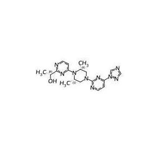 C[C@@H]1CN(c2nccc(-n3cncn3)n2)C[C@H](C)N1c1ccnc([C@@H](C)O)n1